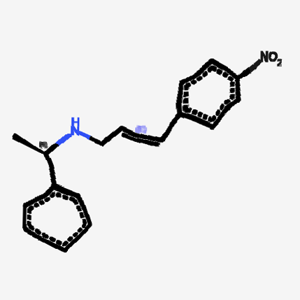 C[C@@H](NC/C=C/c1ccc([N+](=O)[O-])cc1)c1ccccc1